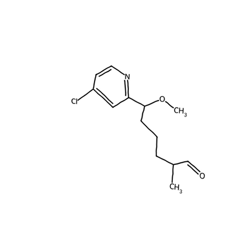 COC(CCCC(C)C=O)c1cc(Cl)ccn1